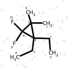 CCC1(CC)C(C)(C)C1(F)F